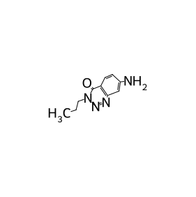 CCCn1nnc2cc(N)ccc2c1=O